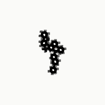 C[Si]1(C)c2cc(N(c3ccc4cc(-c5ccccc5)ccc4c3)c3ccccc3-c3ccccc3)ccc2-c2c1ccc1c2oc2ccccc21